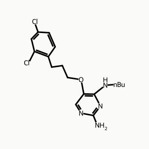 CCCCNc1nc(N)ncc1OCCCc1ccc(Cl)cc1Cl